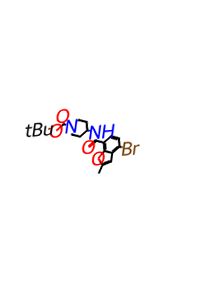 Cc1cc2c(Br)ccc(C(=O)NC3CCN(C(=O)OC(C)(C)C)CC3)c2o1